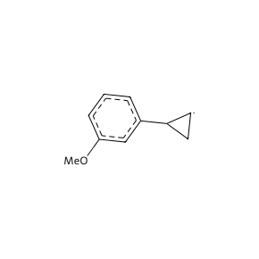 COc1cccc(C2[CH]C2)c1